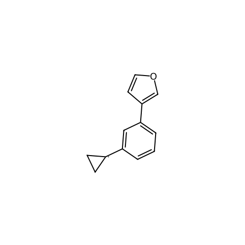 c1cc([C]2CC2)cc(-c2ccoc2)c1